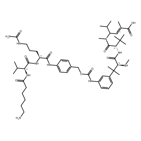 CN[C@H](C(=O)N[C@H](C(=O)N(C)C(/C=C(\C)C(=O)O)C(C)C)C(C)(C)C)C(C)(C)c1cccc(NC(=O)OCc2ccc(NC(=O)[C@H](CCCNC(N)=O)NC(=O)[C@@H](NC(=O)CCCCCN)C(C)C)cc2)c1